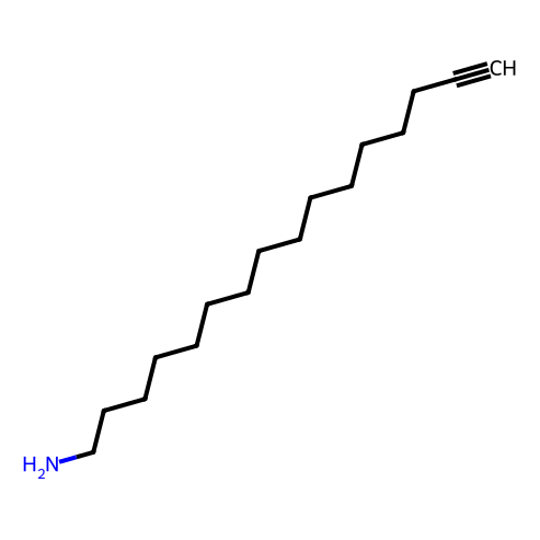 C#CCCCCCCCCCCCCCCN